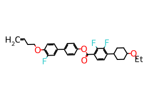 C=CCCOc1ccc(-c2ccc(OC(=O)c3ccc(C4CCC(OCC)CC4)c(F)c3F)cc2)cc1F